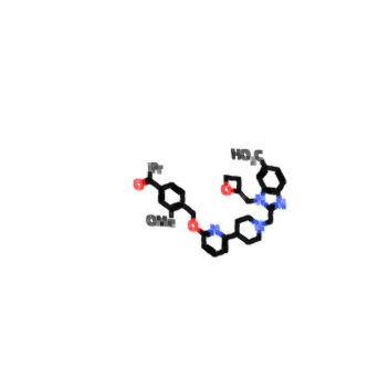 COc1cc(C(=O)C(C)C)ccc1COc1cccc(C2CCN(Cc3nc4ccc(C(=O)O)cc4n3C[C@@H]3CCO3)CC2)n1